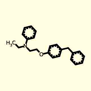 CCN(CCOc1ccc(Cc2ccccc2)cc1)c1ccccc1